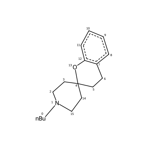 CCCCN1CCC2(CCc3ccccc3O2)CC1